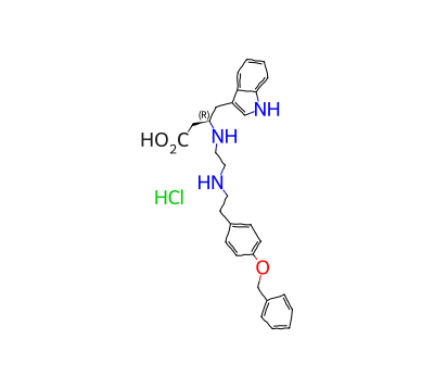 Cl.O=C(O)C[C@@H](Cc1c[nH]c2ccccc12)NCCNCCc1ccc(OCc2ccccc2)cc1